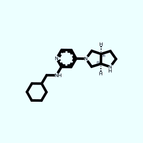 c1cc(N2C[C@H]3CCN[C@H]3C2)cc(NCC2CCCCC2)n1